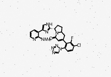 CNc1ncccc1-c1c[nH]c([C@@H]2CCC3CC(c4c(-n5cnnn5)ccc(Cl)c4F)=CC(=O)N32)n1